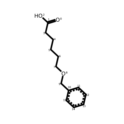 O=C(O)C[CH]CCCOCc1ccccc1